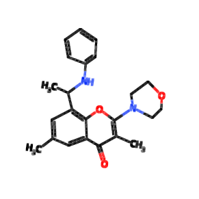 Cc1cc(C(C)Nc2ccccc2)c2oc(N3CCOCC3)c(C)c(=O)c2c1